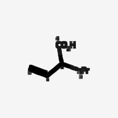 C=CC(CCC)C(=O)O